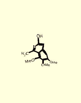 COc1cc2cc(O)nc(C)c2c(OC)c1OC